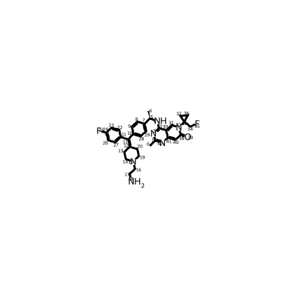 Cc1nc(N[C@H](C)c2ccc(C(=C3CCN(CCN)CC3)c3ccc(F)cc3)cc2)c2cn(C3(CF)CC3)c(=O)cc2n1